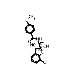 C[C@](C#N)(NC(=O)c1ccc(OC(F)(F)F)cc1)[C@]1(C#N)Cc2cccc(Cl)c2O1